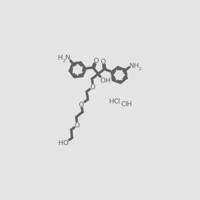 Cl.Cl.Nc1cccc(C(=O)C(O)(COCCOCCOCCO)C(=O)c2cccc(N)c2)c1